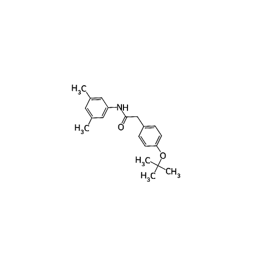 Cc1cc(C)cc(NC(=O)Cc2ccc(OC(C)(C)C)cc2)c1